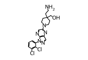 NCCC1(CO)CCN(c2cnc3c(cnn3-c3cccc(Cl)c3Cl)n2)CC1